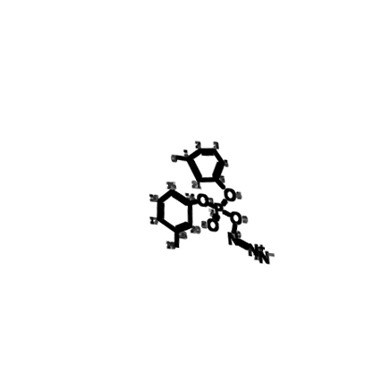 Cc1cccc(OP(=O)(ON=[N+]=[N-])Oc2cccc(C)c2)c1